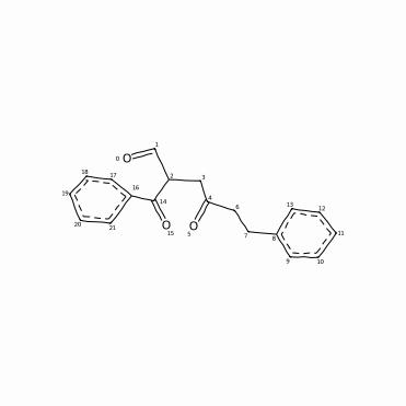 O=CC(CC(=O)CCc1ccccc1)C(=O)c1ccccc1